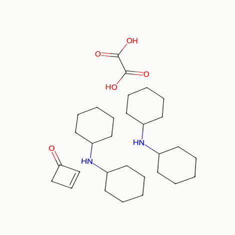 C1CCC(NC2CCCCC2)CC1.C1CCC(NC2CCCCC2)CC1.O=C(O)C(=O)O.O=C1C=CC1